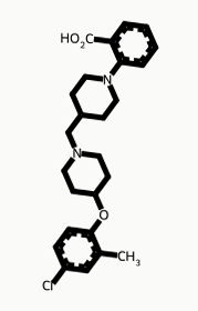 Cc1cc(Cl)ccc1OC1CCN(CC2CCN(c3ccccc3C(=O)O)CC2)CC1